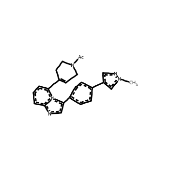 CC(=O)N1CC=C(c2cccc3ncc(-c4ccc(-c5cnn(C)c5)cc4)n23)CC1